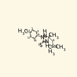 Cc1ccc(N2NC(C)(CC(C)C)NC2=S)cc1